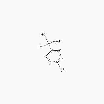 CCC(O)(C(=O)O)c1ccc(N)cc1